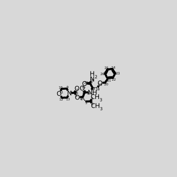 CC(C)C[C@H](OC(=O)N1CCOCC1)C(=O)N[C@@H](COCc1ccccc1)C(N)=O